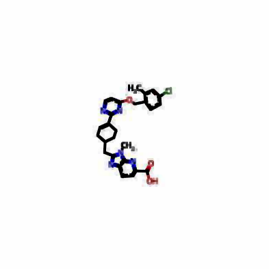 Cc1cc(Cl)ccc1COc1ccnc(C2=CCC(Cc3nc4ccc(C(=O)O)nc4n3C)CC2)n1